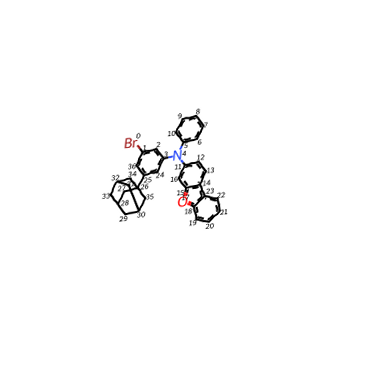 Brc1cc(N(c2ccccc2)c2ccc3c(c2)oc2ccccc23)cc(C23CC4CC(CC(C4)C2)C3)c1